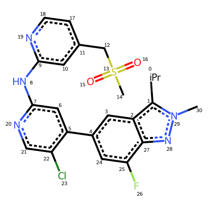 CC(C)c1c2cc(-c3cc(Nc4cc(CS(C)(=O)=O)ccn4)ncc3Cl)cc(F)c2nn1C